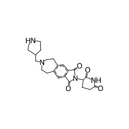 O=C1CCC(N2C(=O)c3cc4c(cc3C2=O)CCN(CC2CCNCC2)CC4)C(=O)N1